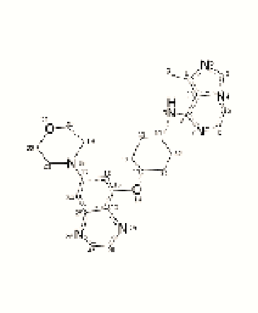 Cc1ncn2ccnc(N[C@H]3CC[C@@H](Oc4cc(N5CCOCC5)cc5nccnc45)CC3)c12